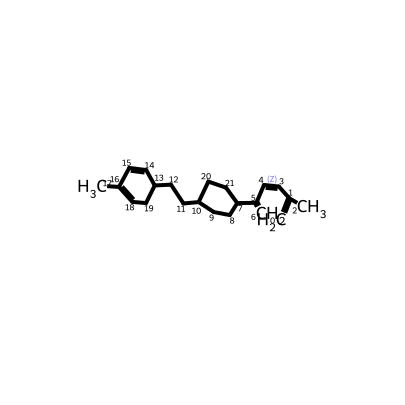 C=C(C)/C=C\C(=C)C1CCC(CCC2C=CC(C)=CC2)CC1